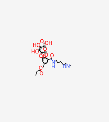 CCC(=O)OCc1ccc(O[C@H]2O[C@H](C(=O)O)[C@@H](O)[C@H](O)[C@H]2O)c(C(=O)NCCCCCNC)c1